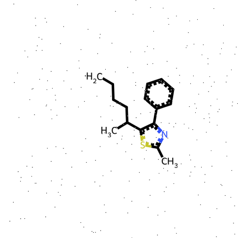 [CH2]CCCC(C)c1sc(C)nc1-c1ccccc1